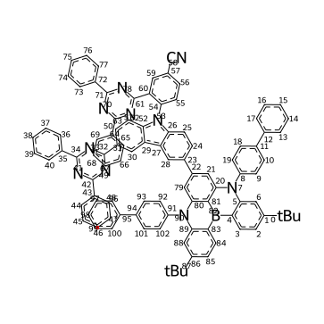 CC(C)(C)c1ccc2c(c1)N(c1ccc(-c3ccccc3)cc1)c1cc(-c3ccc4c(c3)c3cc(-c5nc(-c6ccccc6)nc(-c6ccccc6)n5)ccc3n4-c3ccc(C#N)cc3-c3nc(-c4ccccc4)nc(-c4ccccc4)n3)cc3c1B2c1ccc(C(C)(C)C)cc1N3c1ccc(-c2ccccc2)cc1